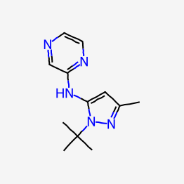 Cc1cc(Nc2cnccn2)n(C(C)(C)C)n1